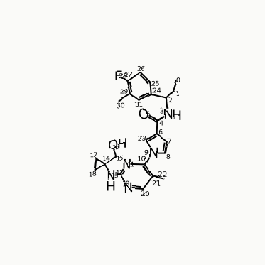 CCC(NC(=O)c1ccn(-c2nc(NC3(CO)CC3)ncc2C)c1)c1ccc(F)c(C)c1